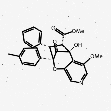 COC(=O)[C@H]1[C@@H](c2ccccc2)[C@]2(c3ccc(C)cc3)Oc3cncc(OC)c3[C@@]1(O)C2=O